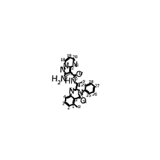 Cc1cccc2nc([C@H](C)NC(=O)c3c(N)nn4cccnc34)n(-c3ccccc3)c(=O)c12